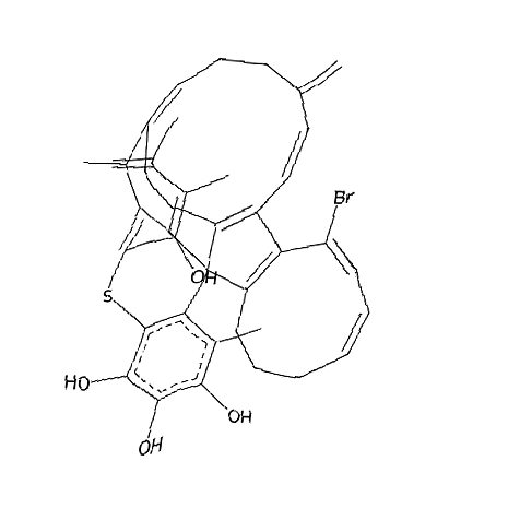 C=C1/C=C\C2=C3CC/C(=C\CC1)C(C)C1=C(/C(O)=C(/C)C(=C)C)Sc4c(O)c(O)c(O)c(C)c4C31C1=C2/C(Br)=C\C=C/CCC1